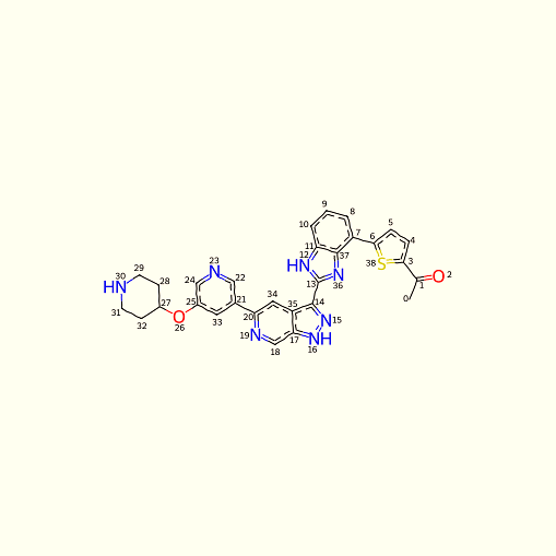 CC(=O)c1ccc(-c2cccc3[nH]c(-c4n[nH]c5cnc(-c6cncc(OC7CCNCC7)c6)cc45)nc23)s1